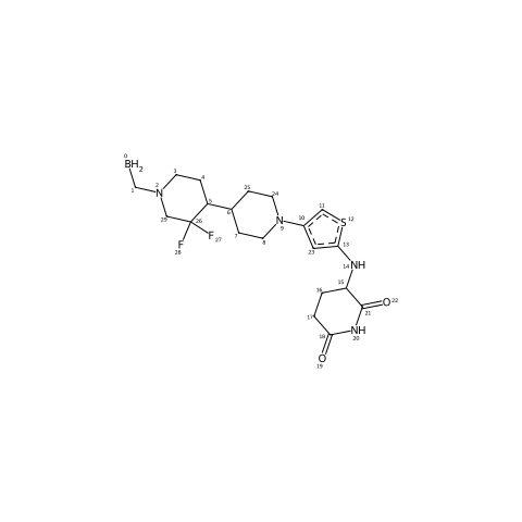 BCN1CCC(C2CCN(c3csc(NC4CCC(=O)NC4=O)c3)CC2)C(F)(F)C1